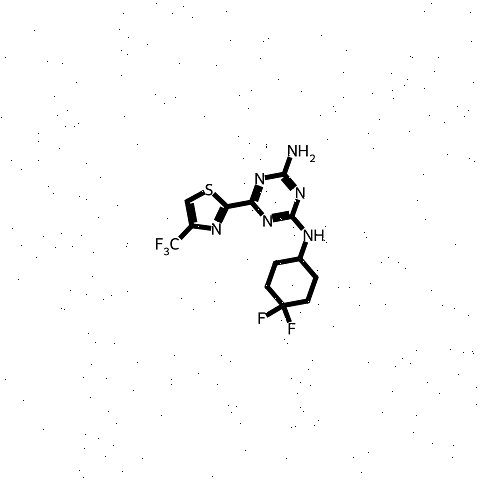 Nc1nc(NC2CCC(F)(F)CC2)nc(-c2nc(C(F)(F)F)cs2)n1